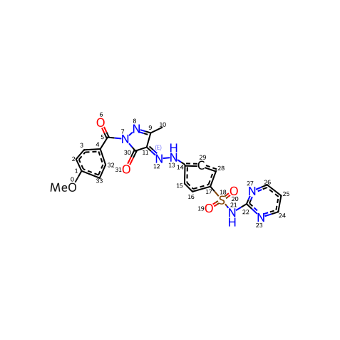 COc1ccc(C(=O)N2N=C(C)/C(=N\Nc3ccc(S(=O)(=O)Nc4ncccn4)cc3)C2=O)cc1